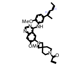 C=CC(=O)N1CCC2(CC1)CN(c1cc3c(Nc4cc(/C(C)=C/C=C\C)ccc4OC)ncnc3cc1OC)C2